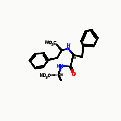 C[C@@H](NC(=O)[C@H](Cc1ccccc1)NC(Cc1ccccc1)C(=O)O)C(=O)O